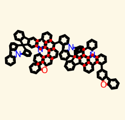 c1cc(-c2ccc3oc4ccccc4c3c2)cc(N(c2ccc3c(c2)C2(c4ccccc4-3)c3ccccc3-n3c4cccc(-c5ccc(N(c6ccc7c(c6)C6(c8ccccc8-7)c7ccccc7-n7c8ccccc8c8cccc6c87)c6ccccc6-c6ccccc6-c6cccc7ccccc67)c(-c6ccc7oc8ccccc8c7c6)c5)c4c4cccc2c43)c2ccccc2-c2ccccc2-c2cccc3ccccc23)c1